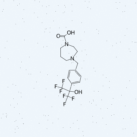 O=C(O)N1CCCN(Cc2ccc(C(O)(C(F)(F)F)C(F)(F)F)cc2)CC1